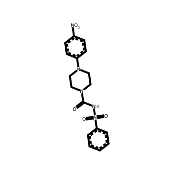 O=C(NS(=O)(=O)c1ccccc1)N1CCN(c2ccc([N+](=O)[O-])cc2)CC1